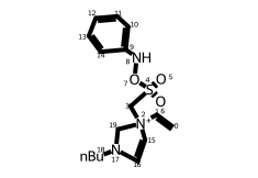 C=C[N+]1(CS(=O)(=O)ONc2ccccc2)C=CN(CCCC)C1